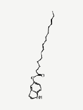 CCCCCCCCCCCCCCCC(=O)Oc1ccc2[nH]ccc2c1